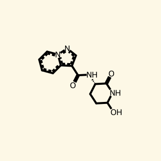 O=C(N[C@H]1CCC(O)NC1=O)c1cnn2ccccc12